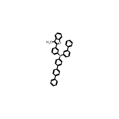 Cc1c(-c2cccc(N(c3ccc(-c4ccc(-c5ccccc5)cc4)cc3)c3cccc(-c4ccccc4)c3)c2)oc2ccccc12